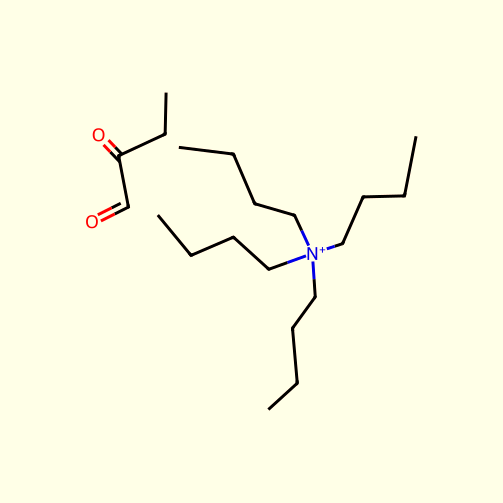 CCC(=O)C=O.CCCC[N+](CCCC)(CCCC)CCCC